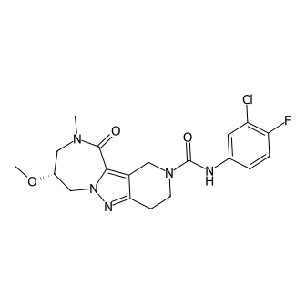 CO[C@@H]1CN(C)C(=O)c2c3c(nn2C1)CCN(C(=O)Nc1ccc(F)c(Cl)c1)C3